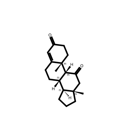 C[C@@]12CCC[C@H]1[C@@H]1CCC3=CC(=O)CC[C@]3(C)[C@@H]1C(=O)C2